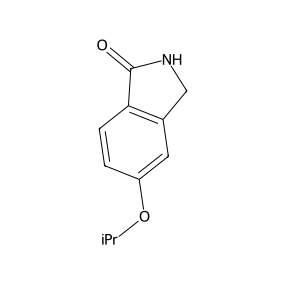 CC(C)Oc1ccc2c(c1)CNC2=O